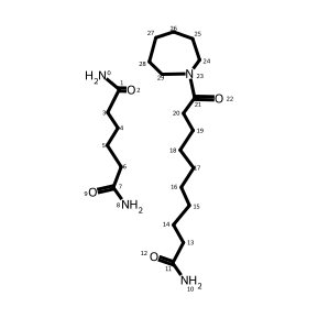 NC(=O)CCCCC(N)=O.NC(=O)CCCCCCCCC(=O)N1CCCCCC1